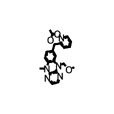 COCN1c2cc(C(OC(C)=O)c3ccccn3)ccc2N(C)c2nccnc21